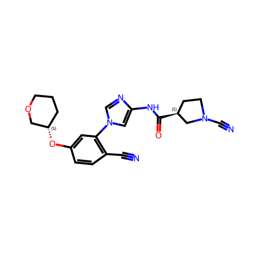 N#Cc1ccc(O[C@H]2CCCOC2)cc1-n1cnc(NC(=O)[C@H]2CCN(C#N)C2)c1